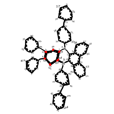 c1ccc(-c2ccc(N(c3ccc(-c4ccccc4)cc3)c3c(N(c4ccc(-c5ccccc5)cc4)c4ccc(-c5ccccc5)cc4)c4ccccc4c4ccccc34)cc2)cc1